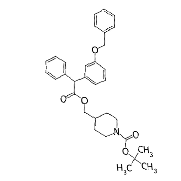 CC(C)(C)OC(=O)N1CCC(COC(=O)C(c2ccccc2)c2cccc(OCc3ccccc3)c2)CC1